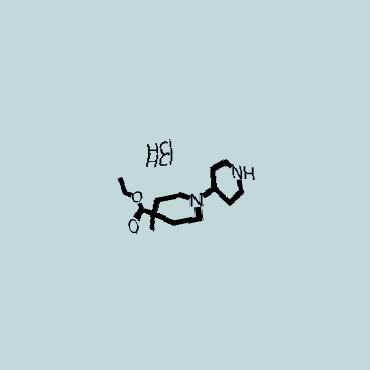 CCOC(=O)C1(C)CCN(C2CCNCC2)CC1.Cl.Cl